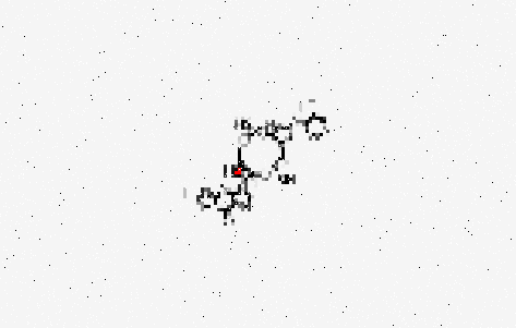 Nc1nc2c(ncn2C2OC3COP(S)O[C@H]4CC(Nc5ncncc5F)CC4COP(S)O[C@@H]2[C@@H]3O)c(=O)[nH]1